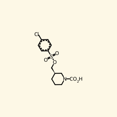 O=C(O)N1CCC[C@@H](COS(=O)(=O)c2ccc(Cl)cc2)C1